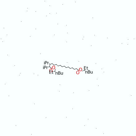 CCCCC(CC)COC(=O)CCCCCCCCCCCCCC(C(C)C)C(C(=O)OCC(CC)CCCC)C(C)C